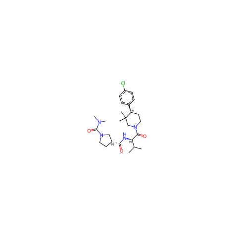 CC(C)[C@@H](NC(=O)[C@@H]1CCN(C(=O)N(C)C)C1)C(=O)N1CC[C@H](c2ccc(Cl)cc2)C(C)(C)C1